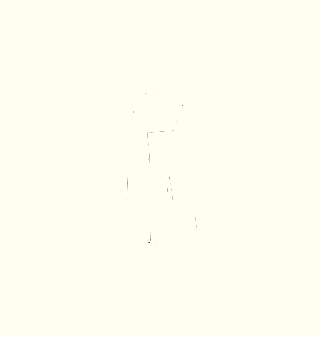 COc1c(C(=O)O)ccc2c1oc1ccccc12